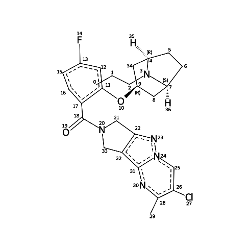 CCCN1[C@@H]2CC[C@H]1C[C@@H](Oc1cc(F)ccc1C(=O)N1Cc3nn4cc(Cl)c(C)nc4c3C1)C2